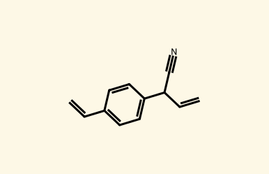 C=Cc1ccc(C(C#N)C=C)cc1